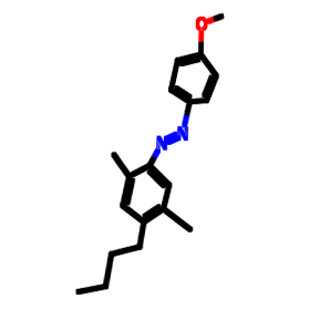 CCCCc1cc(C)c(N=Nc2ccc(OC)cc2)cc1C